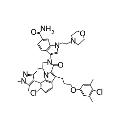 Cc1cc(OCCCc2c3n(c4c(-c5c(C)nn(C)c5C)c(Cl)ccc24)C(C)CN(c2cn(CCN4CCOCC4)c4cc(C(N)=O)ccc24)C3=O)cc(C)c1Cl